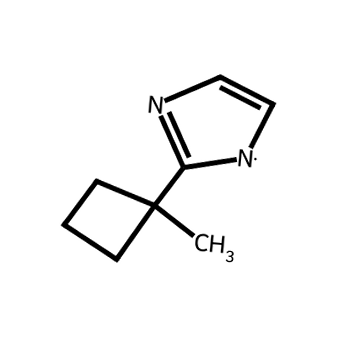 CC1(C2=NC=C[N]2)CCC1